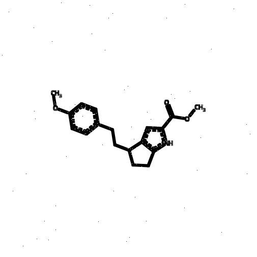 COC(=O)c1cc2c([nH]1)CCC2CCc1ccc(OC)cc1